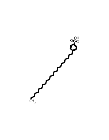 CCCCCCCCCCCCCCCCCCCCCCCc1ccc(S(=O)(=O)O)cc1